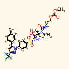 COC(=O)OCO/N=[N+](\[O-])N(C)C(C)(C)C(=O)NS(=O)(=O)c1ccc(-n2nc(C(F)(F)F)cc2-c2ccc(C)cc2)cc1